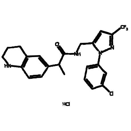 CC(C(=O)NCc1cc(C(F)(F)F)nn1-c1cccc(Cl)c1)c1ccc2c(c1)CCCN2.Cl